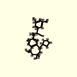 CC(Nc1ncc2c(n1)N(C1CCCC1)CC(C)(C)CN2C)c1cc(F)cc(F)c1